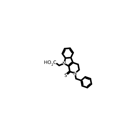 O=C(O)CN1C2=C(CCN(Cc3ccccc3)C2=S)C2C=CC=CC21